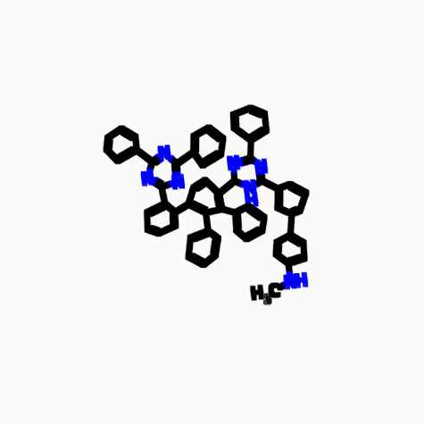 CNc1ccc(-c2cccc(C3=NC(c4ccccc4)=NC(c4ccc(-c5ccccc5-c5nc(-c6ccccc6)nc(-c6ccccc6)n5)c(-c5ccccc5)c4-c4ccccc4)N3)c2)cc1